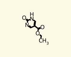 CCOC(=O)c1cnc(=O)[nH]c1